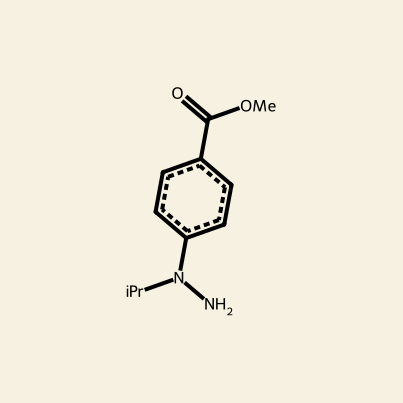 COC(=O)c1ccc(N(N)C(C)C)cc1